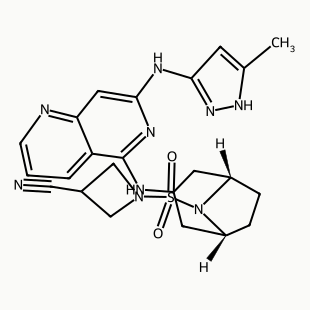 Cc1cc(Nc2cc3ncccc3c(NC3C[C@H]4CC[C@@H](C3)N4S(=O)(=O)N3CC(C#N)C3)n2)n[nH]1